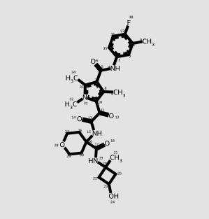 Cc1cc(NC(=O)c2c(C)c(C(=O)C(=O)NC3(C(=O)NC4(C)CC(O)C4)CCOCC3)n(C)c2C)ccc1F